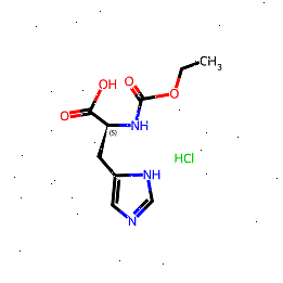 CCOC(=O)N[C@@H](Cc1cnc[nH]1)C(=O)O.Cl